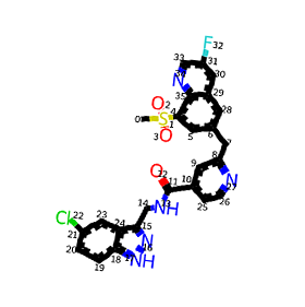 CS(=O)(=O)c1cc(Cc2cc(C(=O)NCc3n[nH]c4ccc(Cl)cc34)ccn2)cc2cc(F)cnc12